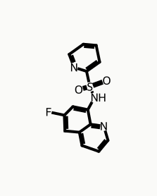 O=S(=O)(Nc1cc(F)cc2cccnc12)c1ccccn1